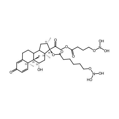 C[C@H]1CC2C3CCC4=CC(=O)C=C[C@]4(C)[C@@]3(F)[C@@H](O)C[C@]2(C)[C@@]1(OC(=O)CCCCCON(O)O)C(=O)COC(=O)CCCON(O)O